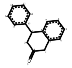 O=C1Cc2ccccc2C(c2ccccc2)C1